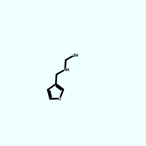 SCNCc1ccoc1